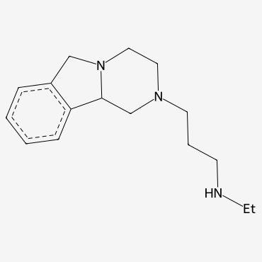 CCNCCCN1CCN2Cc3ccccc3C2C1